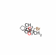 C=C(CBr)C(=O)OC1CC2CCC1(C)C2(C)C